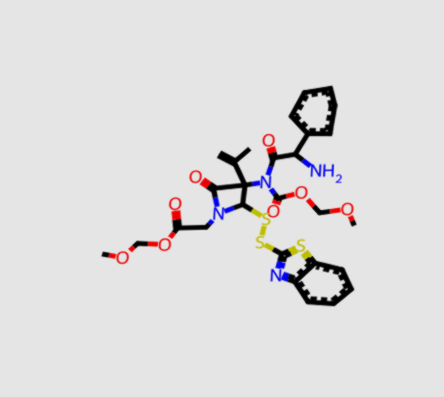 C=C(C)C1(N(C(=O)OCOC)C(=O)C(N)c2ccccc2)C(=O)N(CC(=O)OCOC)C1SSc1nc2ccccc2s1